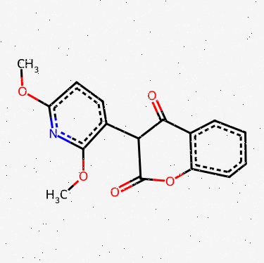 COc1ccc(C2C(=O)Oc3ccccc3C2=O)c(OC)n1